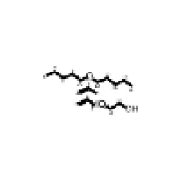 C=CC.C=CC.CCCCCOCCCCC.OCCO